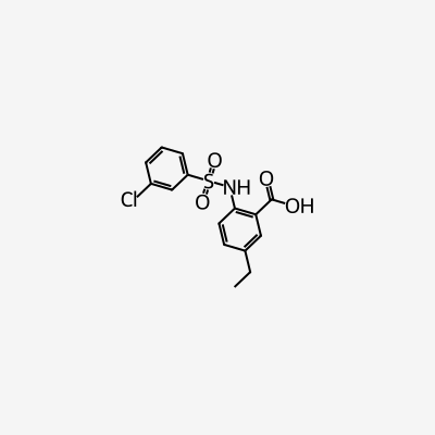 CCc1ccc(NS(=O)(=O)c2cccc(Cl)c2)c(C(=O)O)c1